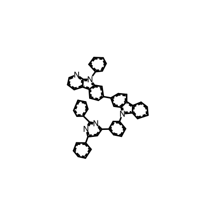 c1ccc(-c2cc(-c3cccc(-n4c5ccccc5c5ccc(-c6ccc7c8cccnc8n(-c8ccccc8)c7c6)cc54)c3)nc(-c3ccccc3)n2)cc1